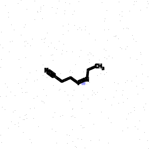 CC/N=[C]\CCC#N